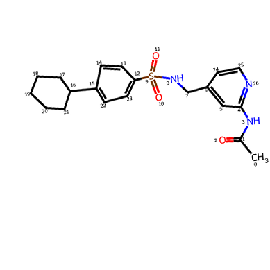 CC(=O)Nc1cc(CNS(=O)(=O)c2ccc(C3CCCCC3)cc2)ccn1